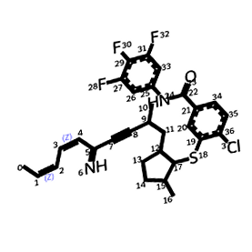 C/C=C\C=C/C(=N)C#CC(C)CC1CCC(C)C1Sc1cc(C(=O)Nc2cc(F)c(F)c(F)c2)ccc1Cl